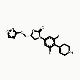 O=C1O[C@@H](COc2ccon2)CN1c1cc(F)c(C2=CCNCC2)c(F)c1